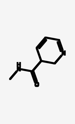 CNC(=O)C1C=CC=NC1